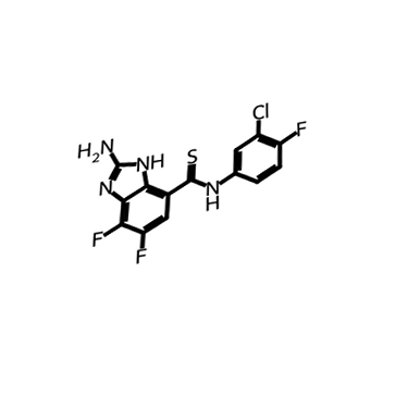 Nc1nc2c(F)c(F)cc(C(=S)Nc3ccc(F)c(Cl)c3)c2[nH]1